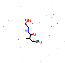 CC(CC(C)(C)C)C(=O)NCCO